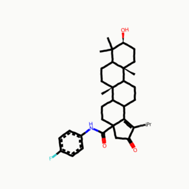 CC(C)C1=C2C3CCC4[C@@](C)(CCC5C(C)(C)[C@@H](O)CC[C@@]54C)C3CCC2(C(=O)Nc2ccc(F)cc2)CC1=O